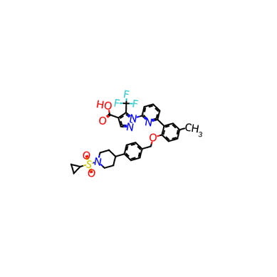 Cc1ccc(OCc2ccc(C3CCN(S(=O)(=O)C4CC4)CC3)cc2)c(-c2cccc(-n3ncc(C(=O)O)c3C(F)(F)F)n2)c1